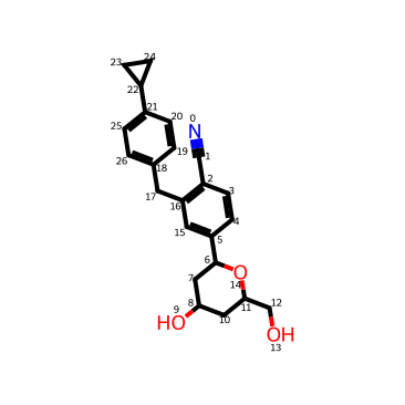 N#Cc1ccc(C2CC(O)CC(CO)O2)cc1Cc1ccc(C2CC2)cc1